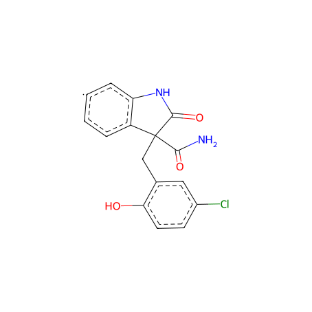 NC(=O)C1(Cc2cc(Cl)ccc2O)C(=O)Nc2c[c]ccc21